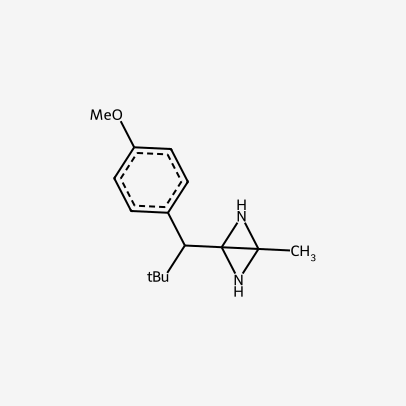 COc1ccc(C(C(C)(C)C)C23NC2(C)N3)cc1